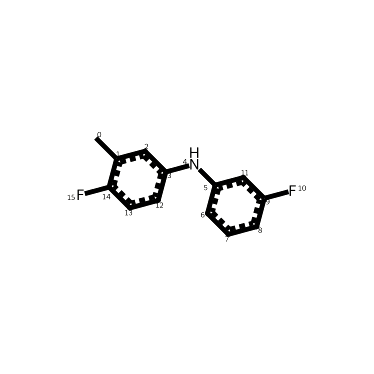 Cc1cc(Nc2cccc(F)c2)ccc1F